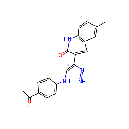 CC(=O)c1ccc(N/C=C(\N=N)c2cc3cc(C)ccc3[nH]c2=O)cc1